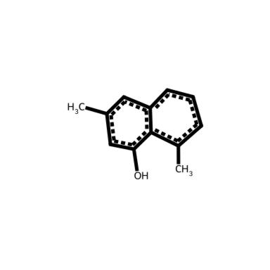 Cc1cc(O)c2c(C)cccc2c1